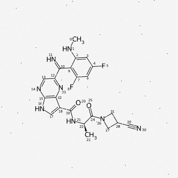 CNc1cc(F)cc(F)c1C(=N)c1cnc2[nH]cc(C(=O)N[C@H](C)C(=O)N3CC(C#N)C3)c2n1